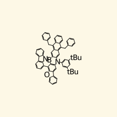 CC(C)(C)c1cc(N2c3cc4c(Cc5ccccc5)c5ccccc5c(Cc5ccccc5)c4cc3B3c4c2cc2c(oc5ccccc52)c4-c2cccc4c5ccccc5n3c24)cc(C(C)(C)C)c1